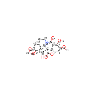 CCC1(C(=O)O)c2ccc(OC)c(OC)c2C(=O)N2CCc3cc4c(cc3C21)OCO4